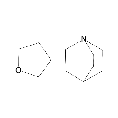 C1CCOC1.C1CN2CCC1CC2